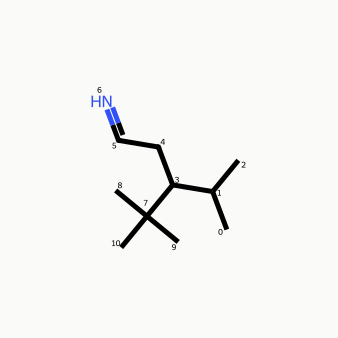 CC(C)C(CC=N)C(C)(C)C